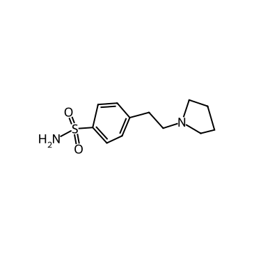 NS(=O)(=O)c1ccc(CCN2CCCC2)cc1